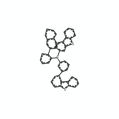 c1cc(-c2cccc3sc4ccccc4c23)cc(N(c2ccc3c(c2)sc2ccccc23)c2ccccc2-c2ccc3ccccc3c2)c1